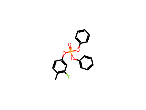 Cc1ccc(OP(=O)(Oc2ccccc2)Oc2ccccc2)cc1F